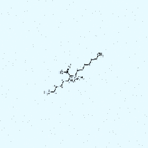 C=C.CCCCCCCCC(CCCCCC)C(=O)O